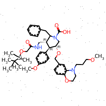 COCCCN1CCOc2ccc(CO[C@H]3CN(C(=O)O)C(Cc4ccccc4)[C@@H](CNC(=O)CO[Si](C)(C)C(C)(C)C)[C@@H]3c3ccc(OC)cc3)cc21